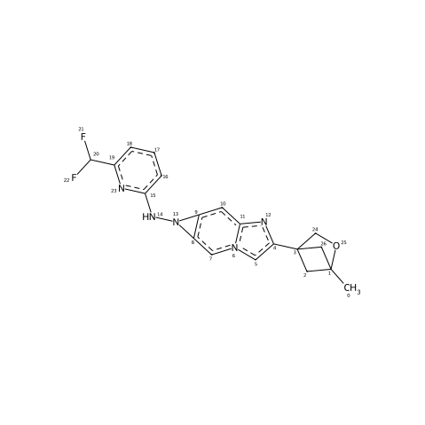 CC12CC(c3cn4cc5c(cc4n3)N5Nc3cccc(C(F)F)n3)(CO1)C2